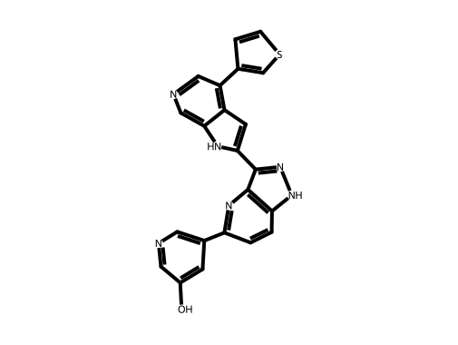 Oc1cncc(-c2ccc3[nH]nc(-c4cc5c(-c6ccsc6)cncc5[nH]4)c3n2)c1